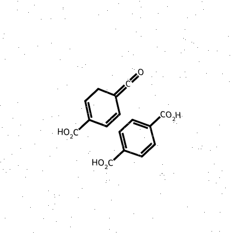 O=C(O)c1ccc(C(=O)O)cc1.O=C=C1C=CC(C(=O)O)=CC1